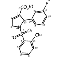 CCOC(=O)C1=CCN(S(=O)(=O)c2ccccc2Cl)C1c1cccc(F)c1